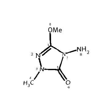 COc1nn(C)c(=O)n1N